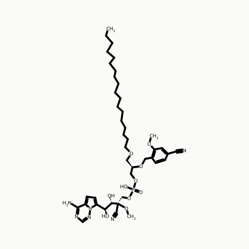 CCCCCCCCCCCCCCCCCCOC[C@H](COP(=O)(O)OC[C@@](C#N)(OC)[C@@H](O)[C@@H](O)c1ccc2c(N)ncnn12)OCc1ccc(C#N)cc1OC